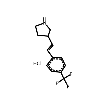 Cl.FC(F)(F)c1ccc(C=CC2CCNC2)cc1